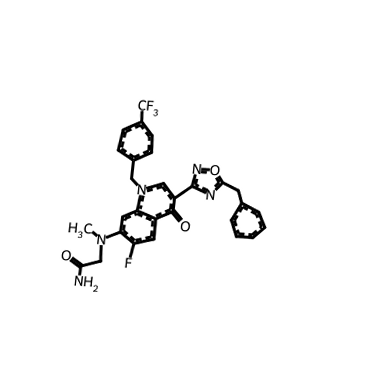 CN(CC(N)=O)c1cc2c(cc1F)c(=O)c(-c1noc(Cc3ccccc3)n1)cn2Cc1ccc(C(F)(F)F)cc1